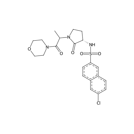 CC(C(=O)N1CCOCC1)N1CC[C@H](NS(=O)(=O)c2ccc3cc(Cl)ccc3c2)C1=O